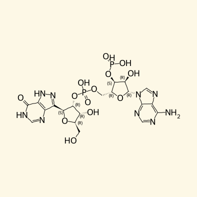 Nc1ncnc2c1ncn2[C@@H]1O[C@H](COP(=O)(O)O[C@@H]2[C@H](O)[C@@H](CO)O[C@H]2c2n[nH]c3c(=O)[nH]cnc23)[C@@H](O[PH](=O)O)[C@H]1O